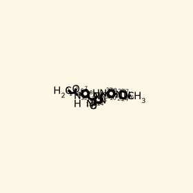 C=CC(=O)Nc1cccc(-c2noc3cnc(Nc4ccc(N5CCN(C)CC5)cc4)nc23)c1